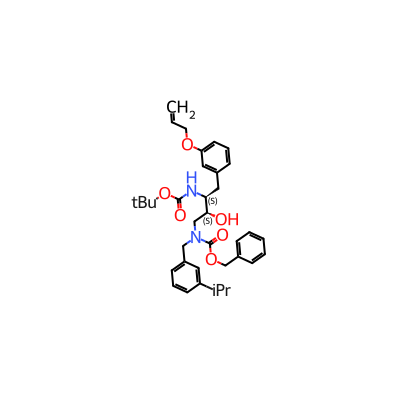 C=CCOc1cccc(C[C@H](NC(=O)OC(C)(C)C)[C@@H](O)CN(Cc2cccc(C(C)C)c2)C(=O)OCc2ccccc2)c1